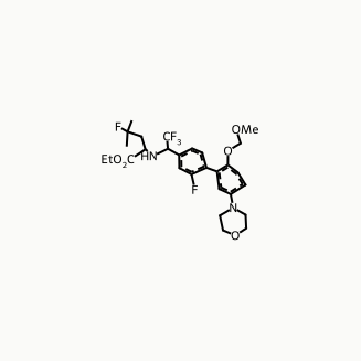 CCOC(=O)C(CC(C)(C)F)NC(c1ccc(-c2cc(N3CCOCC3)ccc2OCOC)c(F)c1)C(F)(F)F